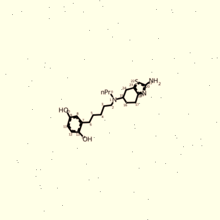 CCCN(CCCCCc1cc(O)ccc1O)C1CCc2nc(N)sc2C1